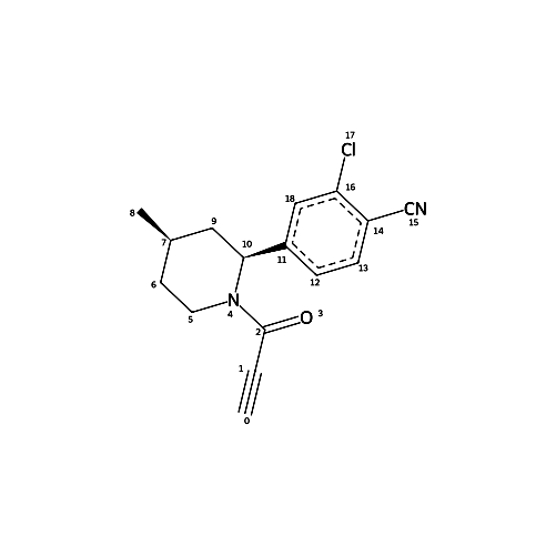 C#CC(=O)N1CC[C@@H](C)C[C@H]1c1ccc(C#N)c(Cl)c1